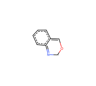 [C]1N=c2ccccc2=CO1